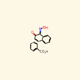 O=C(O)c1ccccc1.O=C1C=Cc2ccccc2C1=NO